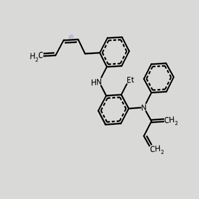 C=C/C=C\Cc1ccccc1Nc1cccc(N(C(=C)C=C)c2ccccc2)c1CC